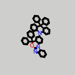 c1ccc(C2(c3ccccc3)Oc3nc4ccccc4n3-c3ccc(N4c5ccccc5C(c5ccccc5)(c5ccccc5)c5ccccc54)cc32)cc1